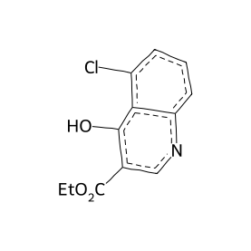 CCOC(=O)c1cnc2cccc(Cl)c2c1O